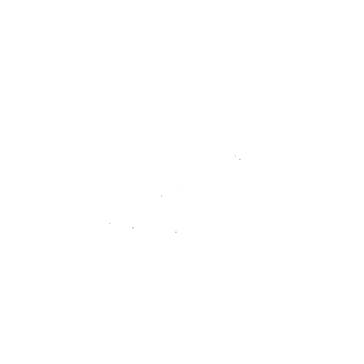 CNc1nc2ccc(N)cc2n1C(C)C.Cl.Cl